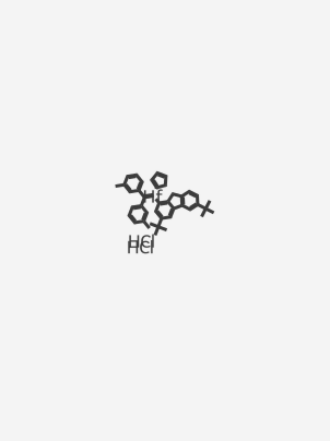 Cc1cccc([C](c2cccc(C)c2)=[Hf]([C]2=CC=CC2)[c]2cc(C(C)(C)C)cc3c2Cc2ccc(C(C)(C)C)cc2-3)c1.Cl.Cl